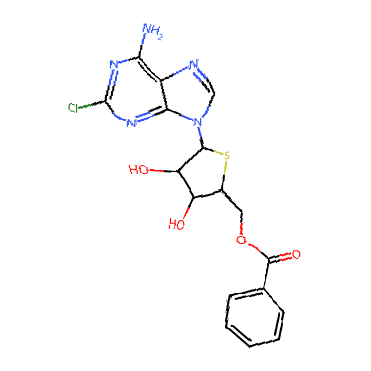 Nc1nc(Cl)nc2c1ncn2C1SC(COC(=O)c2ccccc2)C(O)C1O